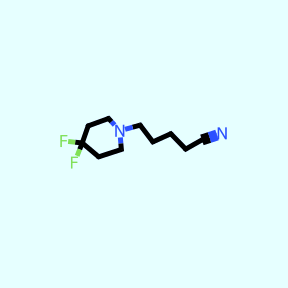 N#CCCCCN1CCC(F)(F)CC1